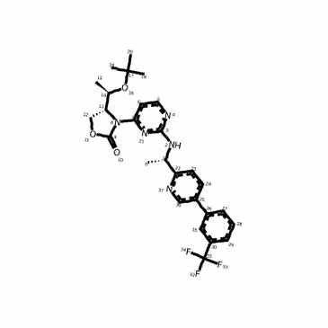 C[C@H](Nc1nccc(N2C(=O)OC[C@@H]2[C@@H](C)OC(C)(C)C)n1)c1ccc(-c2cccc(C(F)(F)F)c2)cn1